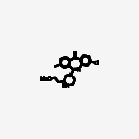 COCCC1CN(C2=Nc3cc(Cl)ccc3Nc3ccc(C)cc32)CCN1